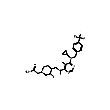 NC(=O)CN1CCC(CNc2ncnc(N(Cc3ccc(C(F)(F)F)cc3)C3CC3)c2F)C(F)C1